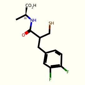 C[C@H](NC(=O)C(CS)Cc1ccc(F)c(F)c1)C(=O)O